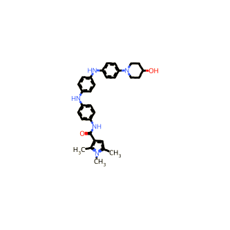 Cc1cc(C(=O)Nc2ccc(Nc3ccc(Nc4ccc(N5CCC(O)CC5)cc4)cc3)cc2)c(C)n1C